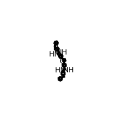 N=C(NC1CCN(Cc2ccccc2)CC1)c1ccc(-c2ccc(-c3ccc(C(=N)NC4CCN(Cc5ccccc5)CC4)cc3)o2)cc1